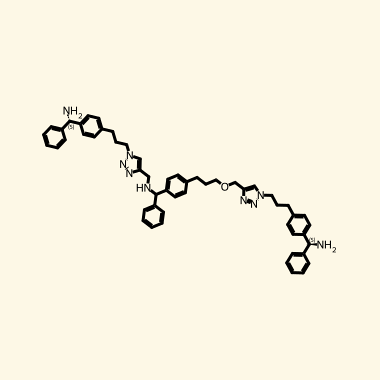 N[C@@H](c1ccccc1)c1ccc(CCCn2cc(CNC(c3ccccc3)c3ccc(CCCOCc4cn(CCCc5ccc([C@@H](N)c6ccccc6)cc5)nn4)cc3)nn2)cc1